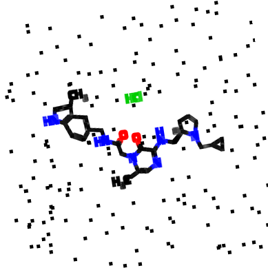 Cc1c[nH]c2ccc(CNC(=O)Cn3c(C)cnc(NC[C@H]4CCCN4CC4CC4)c3=O)cc12.Cl